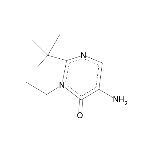 CCn1c(C(C)(C)C)ncc(N)c1=O